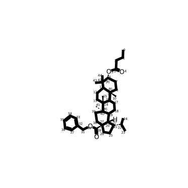 CCCC(=O)O[C@@H]1CC[C@@]2(C)C(CC[C@]3(C)C2CCC2[C@@H]4[C@H](C(C)C)CC[C@]4(C(=O)OCc4ccccc4)CC[C@]23C)C1(C)C